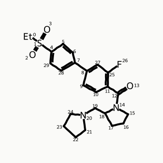 CCS(=O)(=O)c1ccc(-c2ccc(C(=O)N3CCCC3CN3CCCC3)c(F)c2)cc1